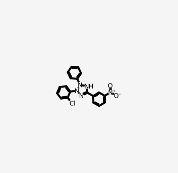 O=[N+]([O-])c1cccc(C2=NN(c3ccccc3Cl)N(c3ccccc3)N2)c1